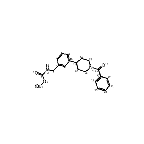 CC(C)(C)OC(=O)NCc1cccc(C2CCN(C(=O)c3ccccc3)CC2)c1